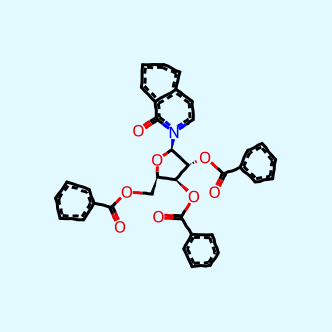 O=C(OC[C@H]1O[C@@H](n2ccc3ccccc3c2=O)[C@H](OC(=O)c2ccccc2)[C@H]1OC(=O)c1ccccc1)c1ccccc1